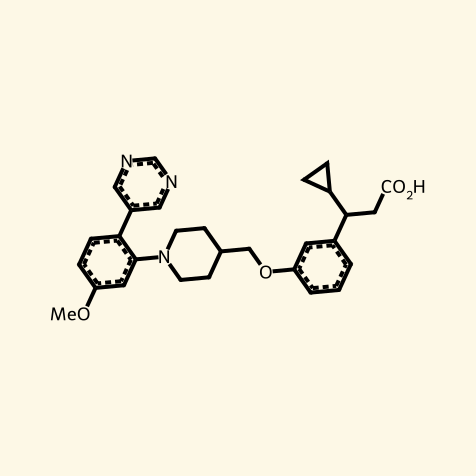 COc1ccc(-c2cncnc2)c(N2CCC(COc3cccc(C(CC(=O)O)C4CC4)c3)CC2)c1